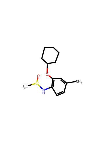 Cc1ccc(N[S+](C)[O-])c(OC2CCCCC2)c1